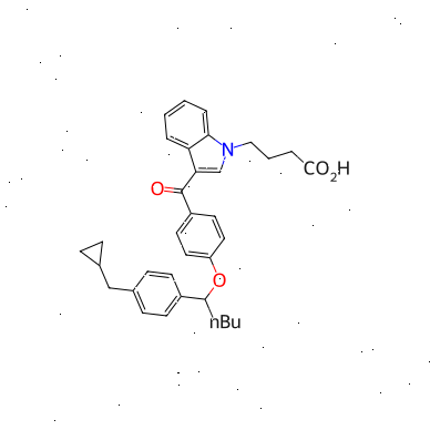 CCCCC(Oc1ccc(C(=O)c2cn(CCCC(=O)O)c3ccccc23)cc1)c1ccc(CC2CC2)cc1